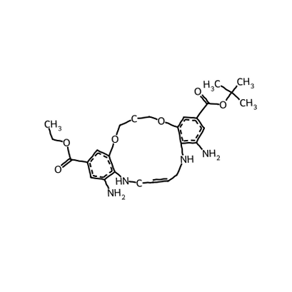 CCOC(=O)c1cc(N)c2c(c1)OCCCOc1cc(C(=O)OC(C)(C)C)cc(N)c1NC/C=C/CN2